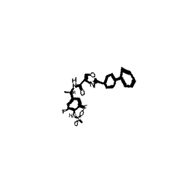 C[C@@H](NC(=O)c1coc(-c2ccc(-c3ccccc3)cc2)n1)c1cc(F)c(NS(C)(=O)=O)c(F)c1